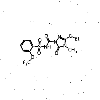 CCOc1nn(C(=O)NS(=O)(=O)c2ccccc2OC(F)(F)F)c(=O)n1C